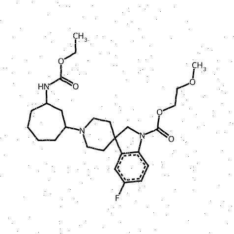 CCOC(=O)NC1CCCCC(N2CCC3(CC2)CN(C(=O)OCCOC)c2ccc(F)cc23)C1